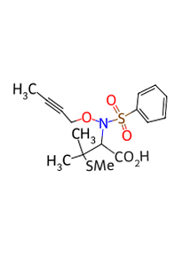 CC#CCON(C(C(=O)O)C(C)(C)SC)S(=O)(=O)c1ccccc1